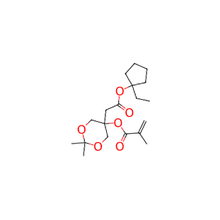 C=C(C)C(=O)OC1(CC(=O)OC2(CC)CCCC2)COC(C)(C)OC1